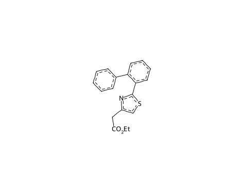 CCOC(=O)Cc1csc(-c2ccccc2-c2ccccc2)n1